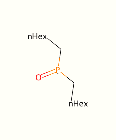 CCCCCCC[P](=O)CCCCCCC